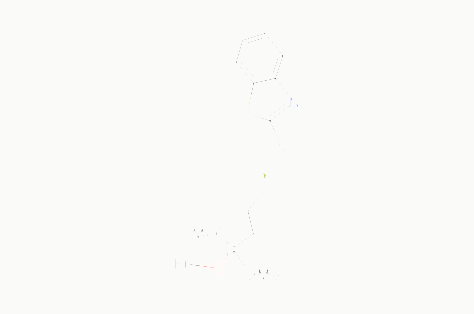 CCO[Si](CCSSSc1nc2ccccc2s1)(OC)OC